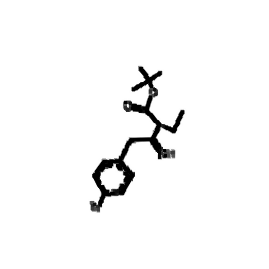 CC[C@@H](C(=N)Cc1ccc(Br)cc1)C(=O)OC(C)(C)C